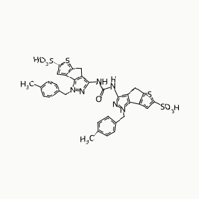 Cc1ccc(Cn2nc(NC(=O)Nc3nn(Cc4ccc(C)cc4)c4c3Cc3sc(S(=O)(=O)O)cc3-4)c3c2-c2cc(S(=O)(=O)O)sc2C3)cc1